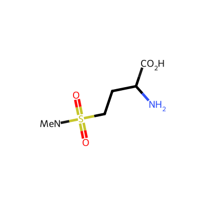 CNS(=O)(=O)CCC(N)C(=O)O